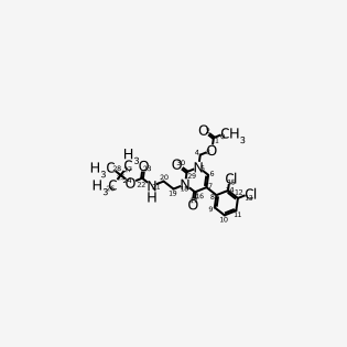 CC(=O)OCn1cc(-c2cccc(Cl)c2Cl)c(=O)n(CCNC(=O)OC(C)(C)C)c1=O